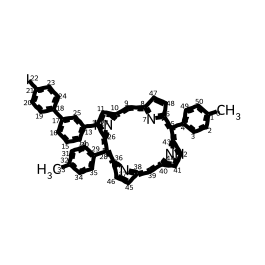 Cc1ccc(-c2c3nc(cc4cc(-c5cccc(-c6ccc(I)cc6)c5)c([nH]4)c(-c4ccc(C)cc4)c4nc(cc5ccc2[nH]5)C=C4)C=C3)cc1